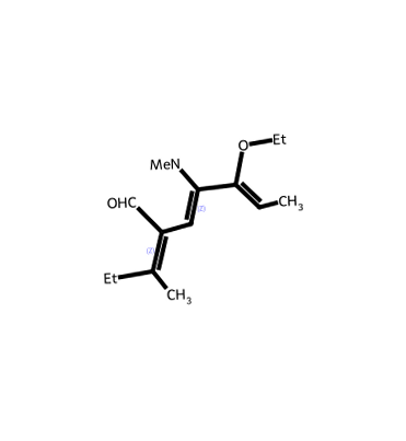 CC=C(OCC)/C(=C/C(C=O)=C(\C)CC)NC